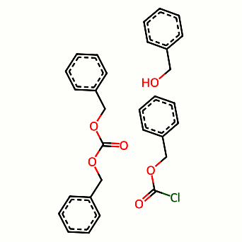 O=C(Cl)OCc1ccccc1.O=C(OCc1ccccc1)OCc1ccccc1.OCc1ccccc1